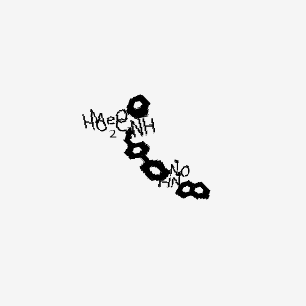 COc1ccccc1NC(Cc1ccc(-c2cccc(N(C)C(=O)Nc3ccc4ccccc4c3)c2)cc1)C(=O)O